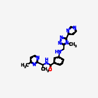 Cc1ccnc(C(C)NC(=O)c2cccc(NCc3nnc(-c4ccncn4)n3C)c2)n1